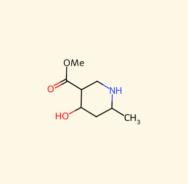 COC(=O)C1CNC(C)CC1O